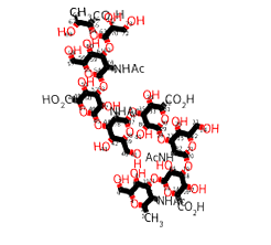 CC(=O)NC1C(C)OC(CO)C(O)C1OC1OC(C(=O)O)C(O)C(OC2OC(CO)C(O)C(OC3OC(C(=O)O)C(O)C(OC4OC(CO)C(O)C(OC5OC(C(=O)O)C(O)C(OC6OC(CO)C(O)C(OC(OC(C(=O)O)[C@H](C)O)[C@@H](O)CO)C6NC(C)=O)C5O)C4NC(C)=O)C3O)C2NC(C)=O)C1O